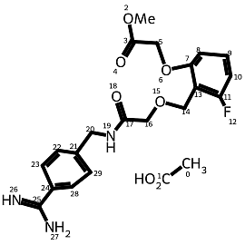 CC(=O)O.COC(=O)COc1cccc(F)c1COCC(=O)NCc1ccc(C(=N)N)cc1